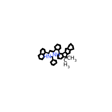 CC1(C)c2cc3ccccc3cc2-c2c(-c3ccccc3C3=CC(c4cccc5ccccc45)NC(c4ccccc4)N3)cccc21